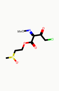 CON=C(C(=O)CCl)C(=O)OCC[S+](C)[O-]